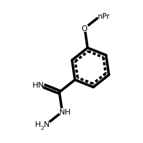 CCCOc1cccc(C(=N)NN)c1